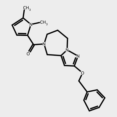 Cc1ccc(C(=O)N2CCCn3nc(OCc4ccccc4)cc3C2)n1C